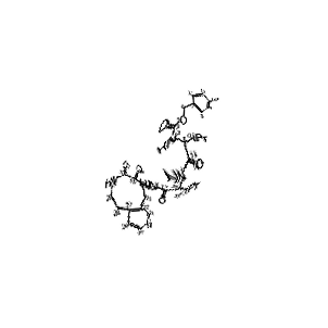 CC(C)C(NC(=O)OCc1ccccc1)C(=O)NC(C(=O)NC1Cc2cnccc2CCNC(=O)C1=O)C(C)C